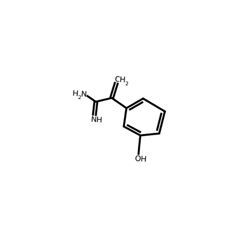 C=C(C(=N)N)c1cccc(O)c1